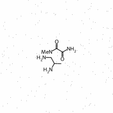 CC(N)CN.CNC(=O)C(N)=O